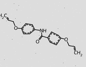 C=CCOc1ccc(NC(=O)c2ccc(OCC=C)cc2)cc1